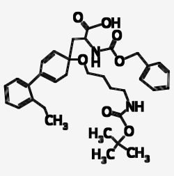 CCc1ccccc1C1=CCC(CC(NC(=O)OCc2ccccc2)C(=O)O)(OCCCCNC(=O)OC(C)(C)C)C=C1